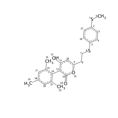 CSc1ccc(SCCc2cc(O)c(-c3c(C)cc(C)cc3C)c(=O)o2)cc1